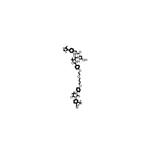 Cc1ncsc1-c1ccc(CNC(=O)[C@@H]2C[C@@H](O)CN2C(=O)C(NC(=O)c2ccc(OCCOCCCCOc3ccc(N4C(=S)N(c5ccc(C#N)c(C(F)(F)F)c5)C(=O)C4(C)C)cc3)cc2)C(C)(C)C)cc1